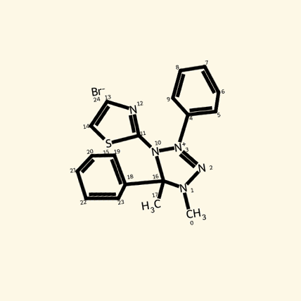 CN1N=[N+](c2ccccc2)N(c2nccs2)C1(C)c1ccccc1.[Br-]